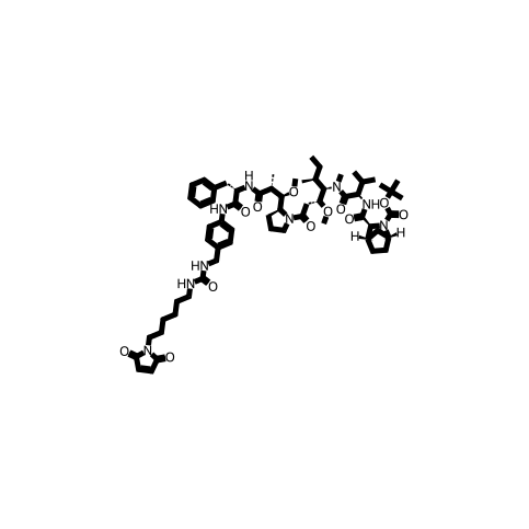 CC[C@H](C)[C@@H]([C@@H](CC(=O)N1CCC[C@H]1[C@H](OC)[C@@H](C)C(=O)N[C@@H](Cc1ccccc1)C(=O)Nc1ccc(CNC(=O)NCCCCCCN2C(=O)C=CC2=O)cc1)OC)N(C)C(=O)[C@@H](NC(=O)[C@@H]1[C@H]2CC[C@H](C2)N1C(=O)OC(C)(C)C)C(C)C